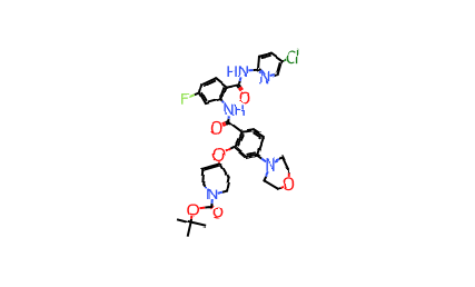 CC(C)(C)OC(=O)N1CCC(Oc2cc(N3CCOCC3)ccc2C(=O)Nc2cc(F)ccc2C(=O)Nc2ccc(Cl)cn2)CC1